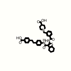 O=C(O)c1ccc(CCc2ccc(NC(=O)c3c(NC(=O)c4cccc(CN5CCC(C(=O)O)CC5)c4)sc4c3CCCC4)cc2)cc1